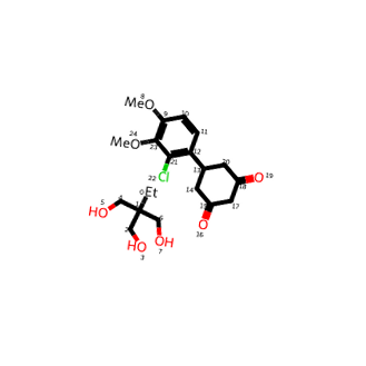 CCC(CO)(CO)CO.COc1ccc(C2CC(=O)CC(=O)C2)c(Cl)c1OC